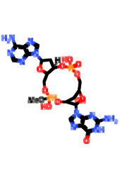 CO[PH]1(O)OCC2O[C@@H](n3cnc4c(N)ncnc43)C[C@H]2OP(=O)(O)OCC2OC(n3cnc4c(=O)[nH]c(N)nc43)C(O1)C2O